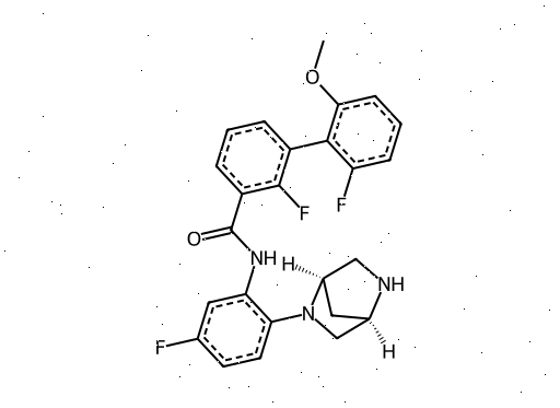 COc1cccc(F)c1-c1cccc(C(=O)Nc2cc(F)ccc2N2C[C@H]3C[C@@H]2CN3)c1F